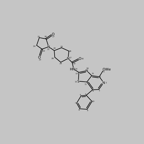 COc1ncc(-c2ccccc2)c2sc(NC(=O)N3CCC(N4C(=O)CCC4=O)CC3)nc12